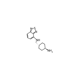 N[C@H]1CC[C@H](CNc2cccc3nsnc23)CC1